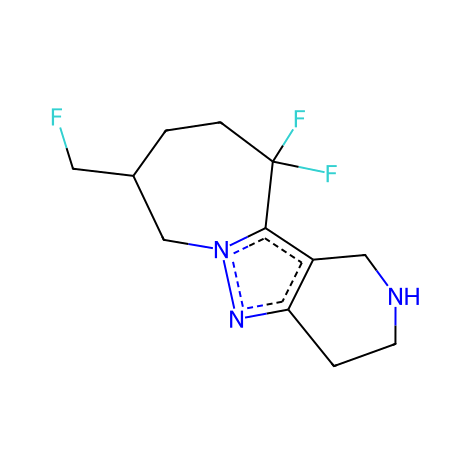 FCC1CCC(F)(F)c2c3c(nn2C1)CCNC3